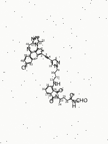 Cc1c(C#Cc2cnn(CCCCNc3cccc4c3C(=O)N(C(C)CCC(=O)NC=O)C4=O)c2)sc2c1C(c1ccc(Cl)cc1)=NCc1nnc(C)n1-2